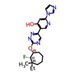 CC[C@]1(C)CCCC[C@H](Oc2ncc(-c3cnc(-n4ccnc4)cc3O)nn2)[C@H]1F